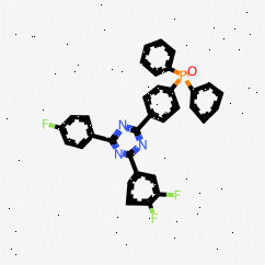 O=P(c1ccccc1)(c1ccccc1)c1ccc(-c2nc(-c3ccc(F)cc3)nc(-c3ccc(F)c(F)c3)n2)cc1